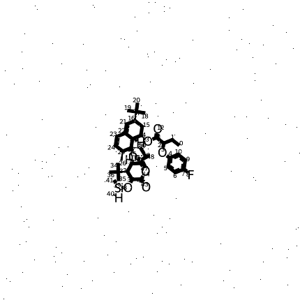 CCC(Oc1ccc(F)cc1)C(=O)O[C@H]1C[C@H](C(C)(C)C)C=C2C=C[C@H](C)[C@](CC[C@@H]3C[C@H](C(C)(C)C)C(O[SiH](C)C)C(=O)O3)(O[SiH](C)C)[C@H]21